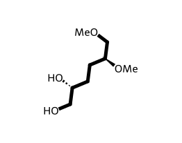 COC[C@H](CC[C@@H](O)CO)OC